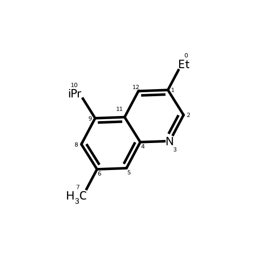 CCc1cnc2cc(C)cc(C(C)C)c2c1